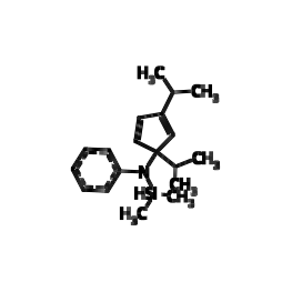 CC(C)C1=CC(C(C)C)(N(c2ccccc2)[SiH](C)C)C=C1